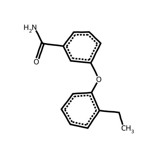 CCc1ccccc1Oc1cccc(C(N)=O)c1